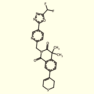 CC1(C)C(=O)N(Cc2ccc(-c3nnc(C(F)F)o3)cn2)C(=O)c2cc(C3=CCSCC3)ccc21